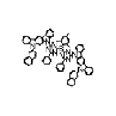 Cc1cc(C)c(B(c2nc(-c3ccccc3)nc(-n3c4ccccc4c4cc5c6ccccc6n(-c6ccc7ccccc7c6)c5cc43)n2)c2nc(-c3ccccc3)nc(-n3c4ccccc4c4cc5c6ccccc6n(-c6ccc7ccccc7c6)c5cc43)n2)c(C)c1